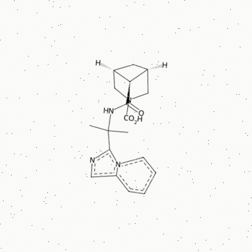 CC(C)(NC(=O)[C@H]1[C@@H]2C[C@H]1CN(C(=O)O)C2)c1ncc2ccccn12